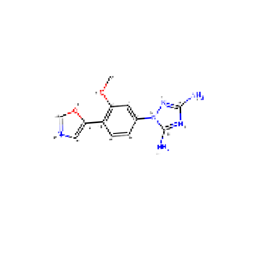 COc1cc(-n2nc(N)nc2N)ccc1-c1cnco1